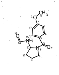 COc1ccc(C(=O)N2CCCC2NC=O)cc1